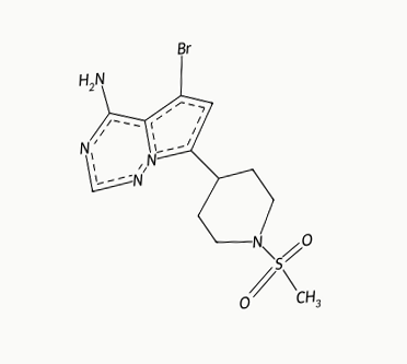 CS(=O)(=O)N1CCC(c2cc(Br)c3c(N)ncnn23)CC1